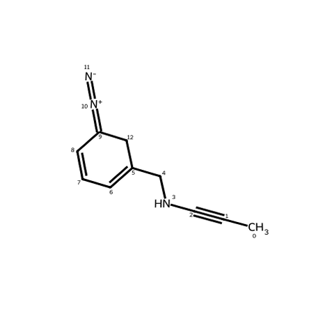 CC#CNCC1=CC=CC(=[N+]=[N-])C1